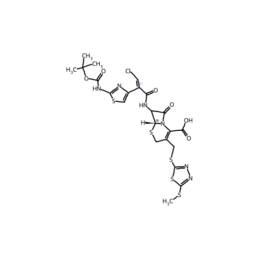 CSc1nnc(SCC2=C(C(=O)O)N3C(=O)C(NC(=O)/C(=C/Cl)c4csc(NC(=O)OC(C)(C)C)n4)[C@H]3SC2)s1